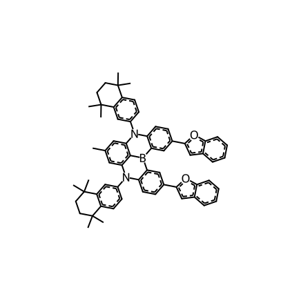 Cc1cc2c3c(c1)N(c1ccc4c(c1)C(C)(C)CCC4(C)C)c1ccc(-c4cc5ccccc5o4)cc1B3c1cc(-c3cc4ccccc4o3)ccc1N2c1ccc2c(c1)C(C)(C)CCC2(C)C